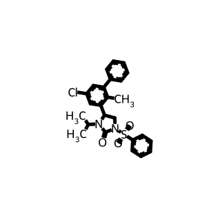 Cc1c(-c2ccccc2)cc(Cl)cc1C1CN(S(=O)(=O)c2ccccc2)C(=O)N1C(C)C